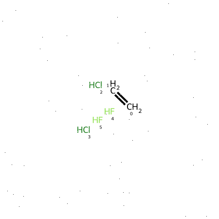 C=C.Cl.Cl.F.F